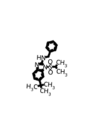 CC(C)S(=O)(=O)n1c(NCc2ccccc2)nc2ccc(C(C)(C)C)cc21